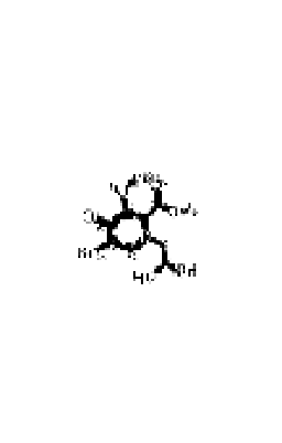 CCCCOc1c(C(=O)OC)n(CC(O)O)cc(Br)c1=O